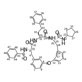 O=C(N[C@H]1Cc2cccc(c2)Oc2cccc(c2)C[C@@H](C(=O)NC2CCCC2)NC(=O)[C@H](CCc2ccccc2)NC1=O)c1ccccc1